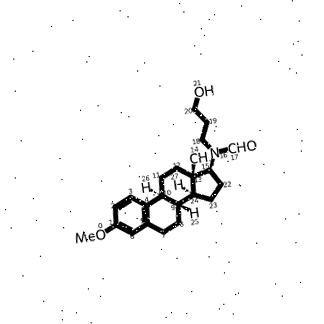 COc1ccc2c(c1)CC[C@@H]1[C@@H]2CC[C@]2(C)[C@@H](N(C=O)CCCO)CC[C@@H]12